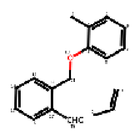 C=CC.Cc1ccccc1OCc1ccccc1C=O